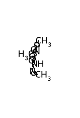 Cc1ccc(-c2nc(CC(=O)CC(=O)NCCCN3CCCC(C)C3)c(C)o2)cc1